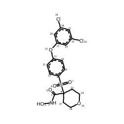 O=C(NO)C1(S(=O)(=O)c2ccc(Oc3cc(Cl)cc(Cl)c3)cc2)CCOCC1